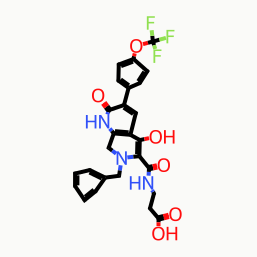 O=C(O)CCNC(=O)C1=C(O)c2cc(-c3ccc(OC(F)(F)F)cc3)c(=O)[nH]c2CN1Cc1ccccc1